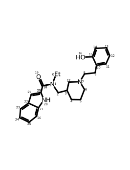 CCN(CC1CCCN(CCc2ccccc2O)C1)C(=O)c1cc2ccccc2[nH]1